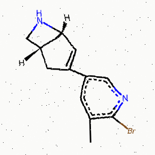 Cc1cc(C2=C[C@H]3NC[C@H]3C2)cnc1Br